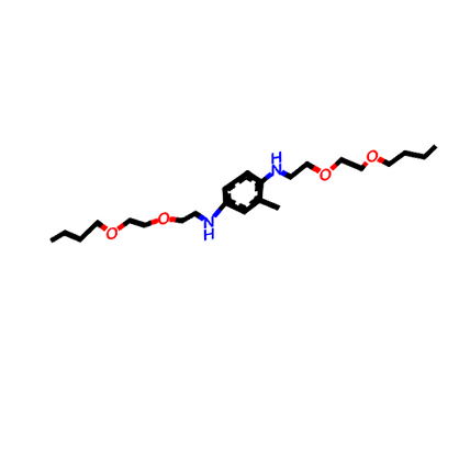 CCCCOCCOCCNc1ccc(NCCOCCOCCCC)c(C)c1